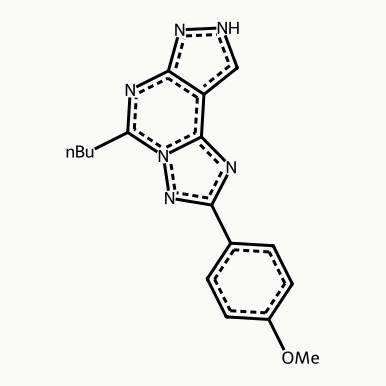 CCCCc1nc2n[nH]cc2c2nc(-c3ccc(OC)cc3)nn12